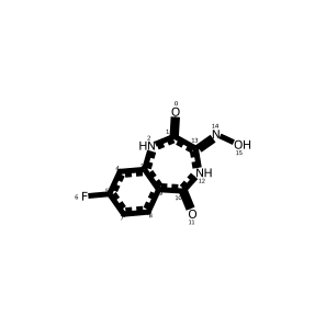 O=c1[nH]c2cc(F)ccc2c(=O)[nH]c1=NO